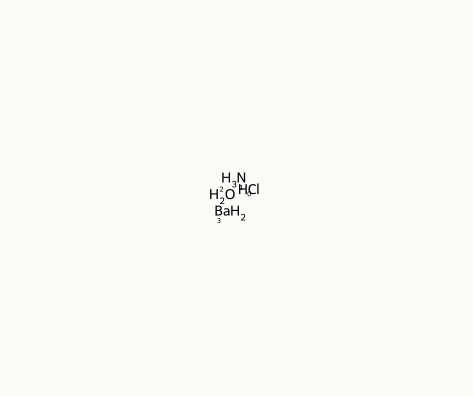 Cl.N.O.[BaH2]